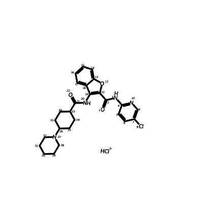 Cl.O=C(Nc1ccc(Cl)cn1)c1oc2ccccc2c1NC(=O)C1CCC(N2CCCCC2)CC1